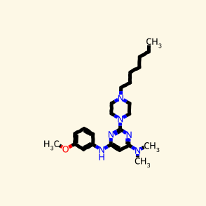 CCCCCCCN1CCN(c2nc(Nc3cccc(OC)c3)cc(N(C)C)n2)CC1